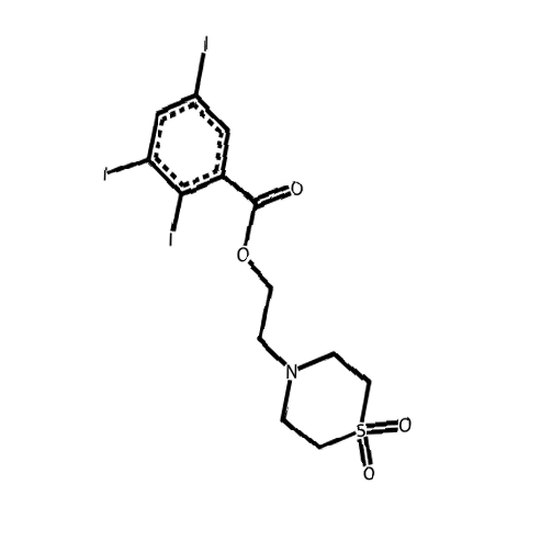 O=C(OCCN1CCS(=O)(=O)CC1)c1cc(I)cc(I)c1I